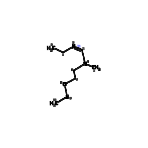 CC/N=C\N(C)CCOSC